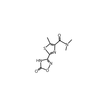 Cc1sc(-c2noc(=O)[nH]2)nc1C(=O)N(C)C